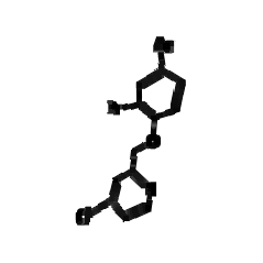 CC(=O)c1ccc(OCc2cc(Cl)ccn2)c(Br)c1